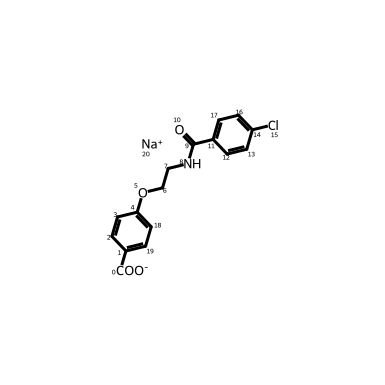 O=C([O-])c1ccc(OCCNC(=O)c2ccc(Cl)cc2)cc1.[Na+]